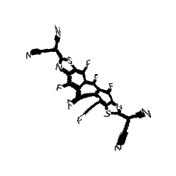 N#CC(C#N)=c1nc2c(F)c3c(F)c4c(F)c5sc(=C(C#N)C#N)nc5c(F)c4c(F)c3c(F)c2s1